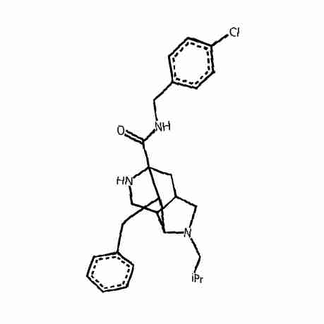 CC(C)CN1CC2CC3(C(=O)NCc4ccc(Cl)cc4)NCC2C1C3Cc1ccccc1